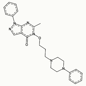 Cc1nc2c(cnn2-c2ccccc2)c(=O)n1OCCCN1CCN(c2ccccc2)CC1